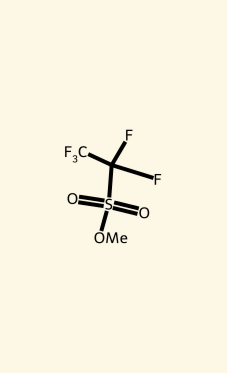 [CH2]OS(=O)(=O)C(F)(F)C(F)(F)F